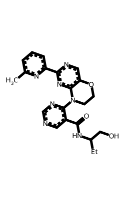 CCC(CO)NC(=O)c1cncnc1N1CCOc2cnc(-c3cccc(C)n3)nc21